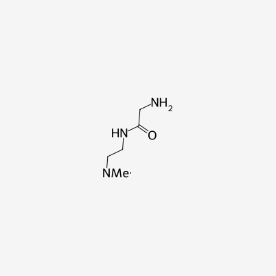 C[N]CCNC(=O)CN